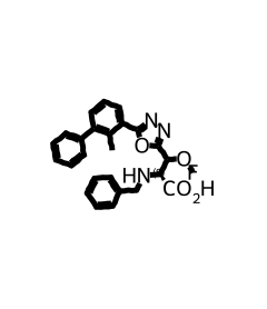 Cc1c(-c2ccccc2)cccc1-c1nnc(C(OF)[C@H](NCc2ccccc2)C(=O)O)o1